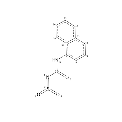 O=C(N=S(=O)=O)Nc1cccc2ccccc12